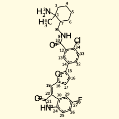 CC1(N)CCCCC1CNC(=O)c1cc(-c2ccc(/C=C3/C(=O)Nc4ccc(F)cc43)o2)ccc1Cl